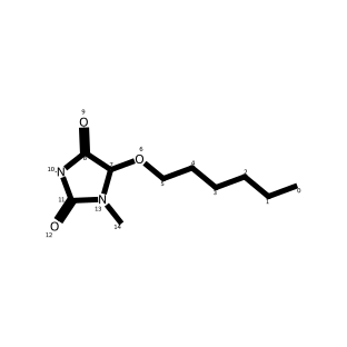 CCCCCCOC1C(=O)[N]C(=O)N1C